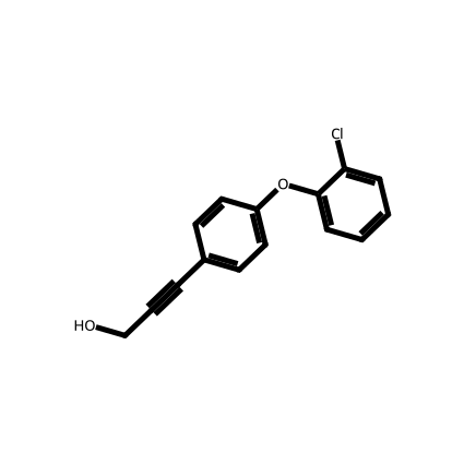 OCC#Cc1ccc(Oc2ccccc2Cl)cc1